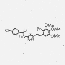 COc1cc(C=Cc2nnc(NC(=O)c3ccc(Cl)cc3)s2)c(Br)c(OC)c1OC